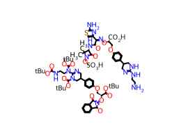 CC(C)(C)OC(=O)NCCN(C(=O)OC(C)(C)C)C1=NCC(c2ccc(OC[C@H](ON3C(=O)c4ccccc4C3=O)C(=O)OC(C)(C)C)cc2)CN1C(=O)OC(C)(C)C.CC1(C)[C@H](NC(=O)/C(=N\O[C@@H](COc2ccc(C3CN=C(NCCN)NC3)cc2)C(=O)O)c2csc(N)n2)C(=O)N1OS(=O)(=O)O